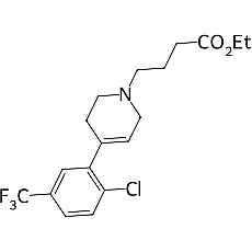 CCOC(=O)CCCN1CC=C(c2cc(C(F)(F)F)ccc2Cl)CC1